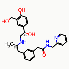 C[C@H](Cc1cccc(CC(=O)NCc2ccccn2)c1)NC[C@H](O)c1ccc(O)c(CO)c1